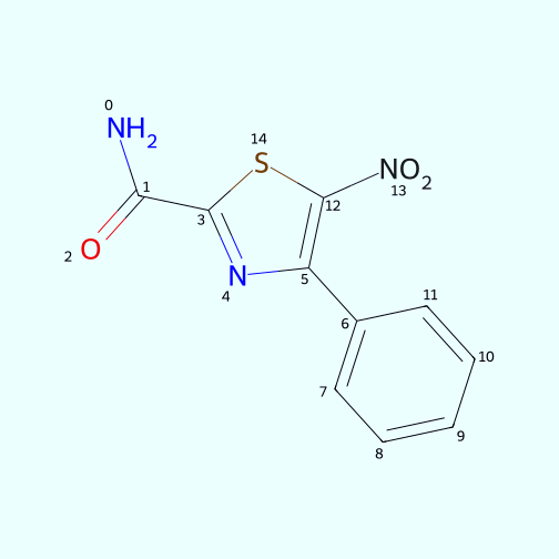 NC(=O)c1nc(-c2ccccc2)c([N+](=O)[O-])s1